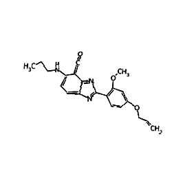 C=CCOc1ccc(C2=Nc3ccc(NCCC)c(=C=O)c3=N2)c(OC)c1